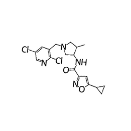 CC1CN(Cc2cc(Cl)cnc2Cl)CC1NC(=O)c1cc(C2CC2)on1